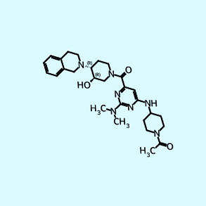 CC(=O)N1CCC(Nc2cc(C(=O)N3CC[C@@H](N4CCc5ccccc5C4)[C@H](O)C3)nc(N(C)C)n2)CC1